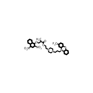 CC(COc1c([N+](=O)[O-])cc([N+](=O)[O-])c2ccccc12)C(=O)OCCN1CCN(CCCN2c3ccccc3Sc3ccc(C(F)(F)F)cc32)CC1